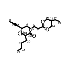 CC#CCCN(CCC1OCC(CC)CO1)C(=O)C(Cl)CCCC